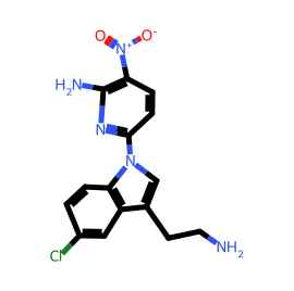 NCCc1cn(-c2ccc([N+](=O)[O-])c(N)n2)c2ccc(Cl)cc12